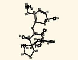 CC(C)(C)[C@@H](O)C(=O)N(Cc1cc(Cl)ccc1CN)C(=O)[C@]1(C)CCCN1